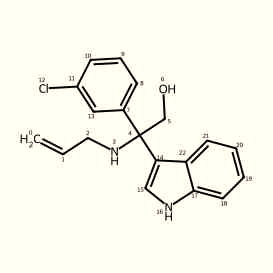 C=CCNC(CO)(c1cccc(Cl)c1)c1c[nH]c2ccccc12